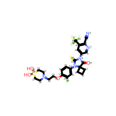 N#Cc1ncc(N2C(=O)C3(CCC3)N(c3ccc(OCCN4CCS(O)(O)CC4)c(F)c3)C2=S)cc1C(F)(F)F